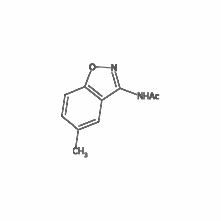 CC(=O)Nc1noc2ccc(C)cc12